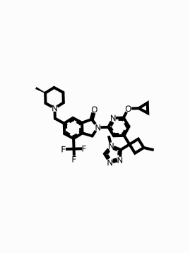 CC1CC(c2cc(OC3CC3)nc(N3Cc4c(cc(CN5CCC[C@H](C)C5)cc4C(F)(F)F)C3=O)c2)(c2nncn2C)C1